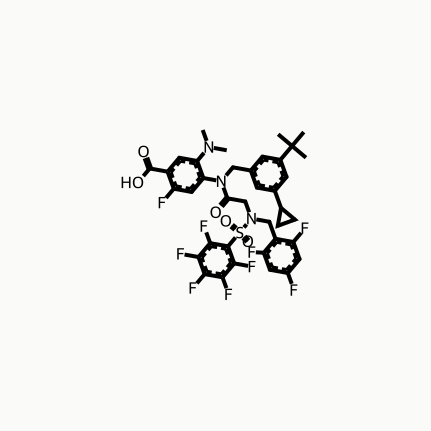 CN(C)c1cc(C(=O)O)c(F)cc1N(Cc1cc(C2CC2)cc(C(C)(C)C)c1)C(=O)CN(Cc1c(F)cc(F)cc1F)S(=O)(=O)c1c(F)c(F)c(F)c(F)c1F